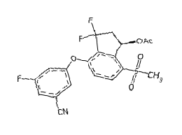 CC(=O)O[C@@H]1CC(F)(F)c2c(Oc3cc(F)cc(C#N)c3)ccc(S(C)(=O)=O)c21